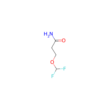 NC(=O)CCOC(F)F